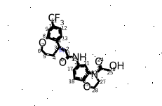 O=C(/C=C1\CCCOc2cc(C(F)(F)F)ccc21)Nc1ccc2c(c1)N(C(=O)CO)CCO2